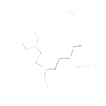 O=C([O-])CN(CCN(CC(=O)[O-])CC(=O)[O-])CCN(CC(=O)[O-])CC(=O)[O-].[Na+].[Na+].[Na+].[Zn+2]